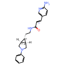 Nc1ccc(/C=C/C(=O)NCC[C@@H]2[C@H]3CN(c4ccccc4)C[C@@H]23)cn1